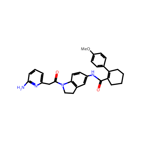 COc1ccc(C2=C(C(=O)Nc3ccc4c(c3)CCN4C(=O)Cc3cccc(N)n3)CCCC2)cc1